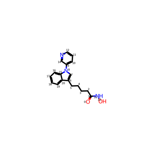 O=C(CCCCc1cn(-c2cccnc2)c2ccccc12)NO